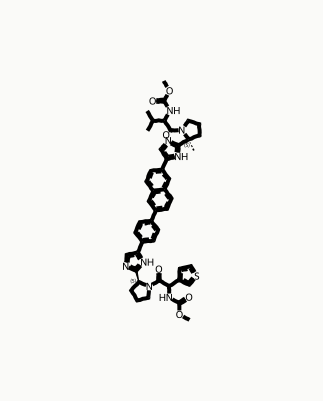 COC(=O)NC(C(=O)N1CCC[C@H]1c1ncc(-c2ccc(-c3ccc4cc(-c5cnc([C@]6(C)CCCN6C(=O)C(NC(=O)OC)C(C)C)[nH]5)ccc4c3)cc2)[nH]1)c1ccsc1